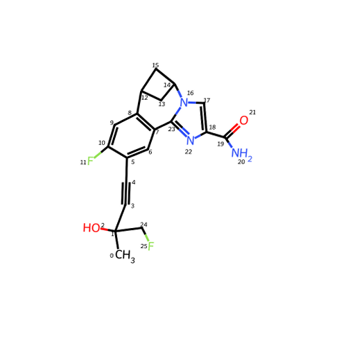 CC(O)(C#Cc1cc2c(cc1F)C1CC(C1)n1cc(C(N)=O)nc1-2)CF